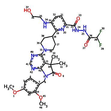 COc1ccc(CN2C(=O)C(C)(C)c3c(N4CCC(c5nc(C(=O)NNC(=O)C(F)F)ccc5NCCO)CC4)ncnc32)c(OC)c1